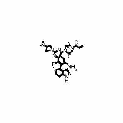 C=CC(=O)N1C[C@H](C)N(c2nc(N3CC(N(C)C)C3)nc3c(F)c(C4=c5c(N)n[nH]c5=CC[C@@H]4C)c(C)cc23)C[C@H]1C